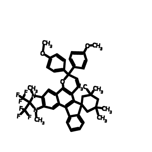 COc1ccc(C2(c3ccc(OC)cc3)C=Cc3c4c(c5cc6c(cc5c3O2)N(C)C(C(F)(F)F)(C(F)(F)F)N6C)-c2ccccc2C42CC(C)(C)CC(C)(C)C2)cc1